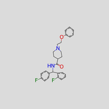 O=C(NC(c1ccc(F)cc1)c1ccccc1F)C1CCN(CCOc2ccccc2)CC1